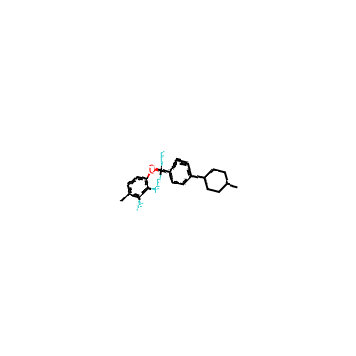 Cc1ccc(OC(F)(F)c2ccc(C3CCC(C)CC3)cc2)c(F)c1F